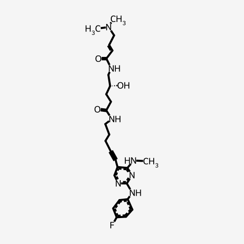 CNc1nc(Nc2ccc(F)cc2)ncc1C#CCCCNC(=O)CC[C@@H](O)CNC(=O)/C=C/CN(C)C